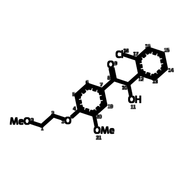 COCCOc1ccc(C(=O)C(O)c2ccccc2Cl)cc1OC